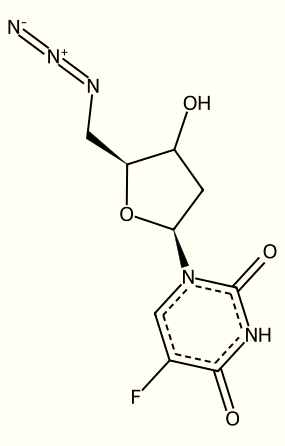 [N-]=[N+]=NC[C@@H]1O[C@H](n2cc(F)c(=O)[nH]c2=O)CC1O